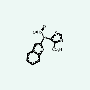 O=C(O)c1ncsc1N(c1cc2ccccc2s1)[SH](=O)=O